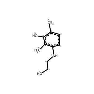 Cc1ccc(NCCO)c(C)c1O